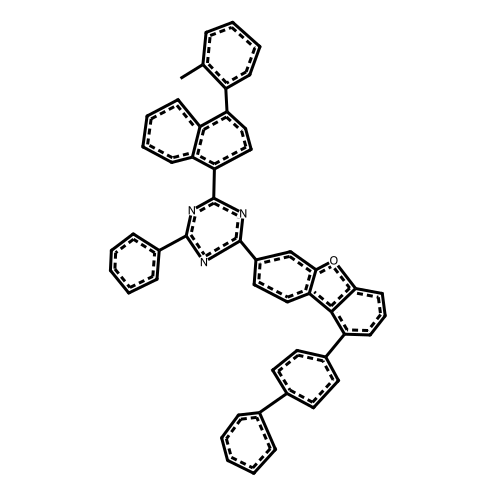 Cc1ccccc1-c1ccc(-c2nc(-c3ccccc3)nc(-c3ccc4c(c3)oc3cccc(-c5ccc(-c6ccccc6)cc5)c34)n2)c2ccccc12